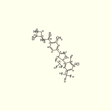 Cc1cc(C2=NO[C@](c3cc(C(F)(F)F)cc(Cl)c3F)(C(F)(F)F)C2)ccc1C(=O)N[C@@H]1CNC1=O